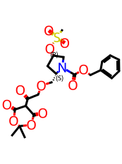 CC1(C)OC(=O)C(C(=O)COC[C@@H]2C[C@@H](OS(C)(=O)=O)CN2C(=O)OCc2ccccc2)C(=O)O1